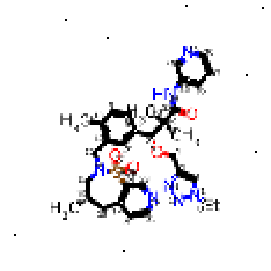 CCn1cc(CO[C@H](c2ccc(C)c(CN3C[C@@H](C)Cc4ccncc4S3(=O)=O)c2)C(C)(C)C(=O)Nc2cccnc2)nn1